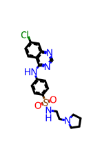 O=S(=O)(NCCN1CCCC1)c1ccc(Nc2ncnc3cc(Cl)ccc23)cc1